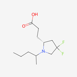 CCCC(C)N1CC(F)(F)C[C@H]1CCC(=O)O